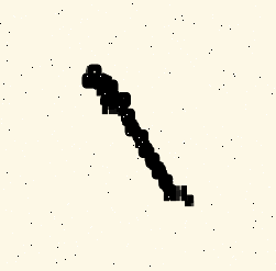 COC(=O)c1ccc(Oc2cccc(C(=O)NCCOCCOCCOCCOCCOCCOCCOCCN)c2)nc1